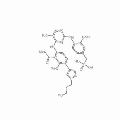 CNC(=O)c1c(Nc2nc(Nc3ccc(CP(=O)(O)O)cc3OC)ncc2C(F)(F)F)ccc(-c2cnn(CCCO)c2)c1OC